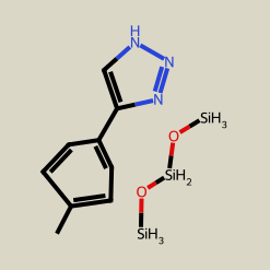 Cc1ccc(-c2c[nH]nn2)cc1.[SiH3]O[SiH2]O[SiH3]